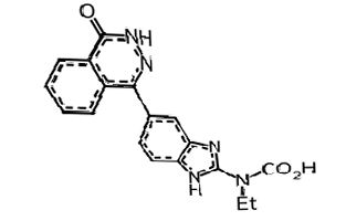 CCN(C(=O)O)c1nc2cc(-c3n[nH]c(=O)c4ccccc34)ccc2[nH]1